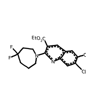 CCOC(=O)c1cc2cc(Cl)c(Cl)cc2nc1N1CCCC(F)(F)CC1